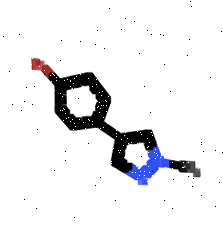 Cn1cc(-c2ccc(Br)cc2)cn1